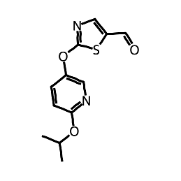 CC(C)Oc1ccc(Oc2ncc(C=O)s2)cn1